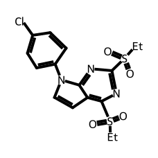 CCS(=O)(=O)c1nc(S(=O)(=O)CC)c2ccn(-c3ccc(Cl)cc3)c2n1